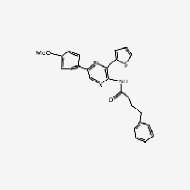 COc1ccc(-c2cnc(NC(=O)CCCc3ccccc3)c(-c3cccs3)n2)cc1